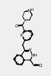 O=CC1NN=C(Cc2cccc(C(=O)N3CCNCC3)n2)c2ccccc21